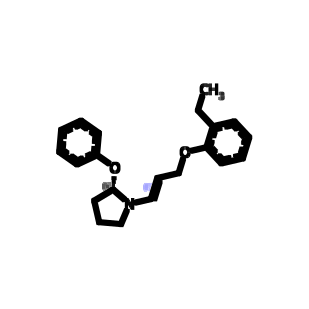 CCc1ccccc1OC/C=C/N1CCC[C@@H]1Oc1ccccc1